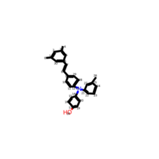 Cc1cc(C)cc(C=Cc2ccc(N(c3ccc(O)cc3)c3cccc(C)c3)cc2)c1